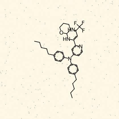 CCCCCc1ccc(N(c2ccc(CCCCC)cc2)c2ccnc(/C(=C/C(=N)C(F)(F)F)NC3CCCCO3)c2)cc1